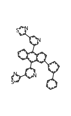 c1ccc(-c2cccc(-c3ccc4c(-c5cncc(-c6cscn6)c5)c5ccccc5c(-c5cncc(-c6cscn6)c5)c4c3)c2)cc1